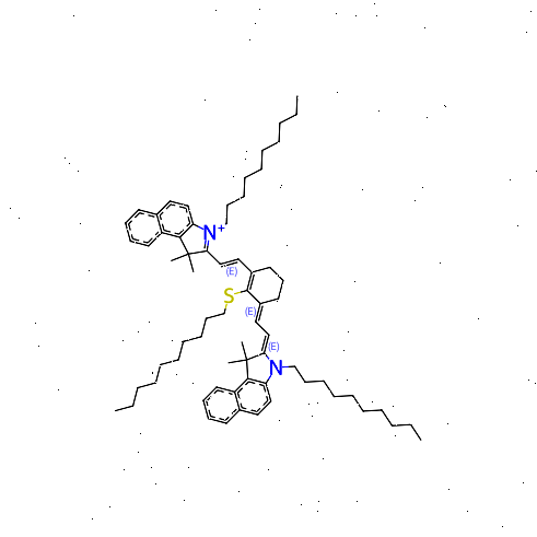 CCCCCCCCCCSC1=C(/C=C/C2=[N+](CCCCCCCCCC)c3ccc4ccccc4c3C2(C)C)CCC/C1=C\C=C1\N(CCCCCCCCCC)c2ccc3ccccc3c2C1(C)C